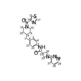 O=C(Nc1ccc(CC2CCN(C(=O)c3cscn3)CC2)cc1)C1CN(c2cccnn2)C1